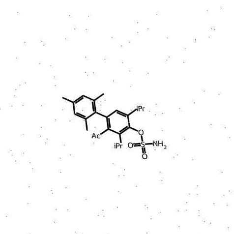 CC(=O)c1c(-c2c(C)cc(C)cc2C)cc(C(C)C)c(OS(N)(=O)=O)c1C(C)C